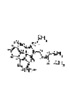 CCSC1=C(C#N)C(c2ccccc2)(c2ccccc2)C(=O)N1CCN(CC)CC.Cl